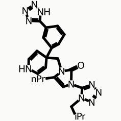 CCCc1cn(-c2nnnn2CC(C)C)c(=O)n1CC1(c2cccc(-c3nnn[nH]3)c2)C=CNC=C1